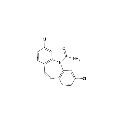 NC(=O)N1c2cc(Cl)ccc2C=Cc2ccc(Cl)cc21